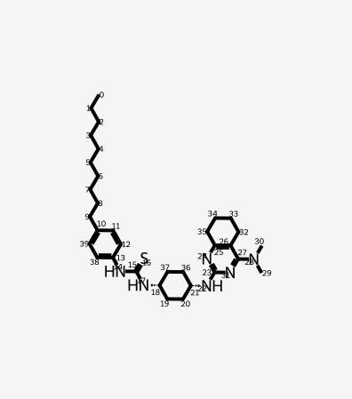 CCCCCCCCCCc1ccc(NC(=S)N[C@H]2CC[C@@H](Nc3nc4c(c(N(C)C)n3)CCCC4)CC2)cc1